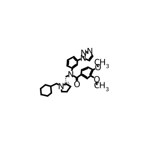 COc1ccc(C(=O)N(C[C@@H]2CCCN2CC2CCCCC2)c2cccc(-n3ccnn3)c2)cc1OC